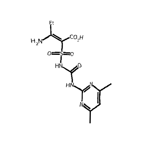 CCC(N)=C(C(=O)O)S(=O)(=O)NC(=O)Nc1nc(C)cc(C)n1